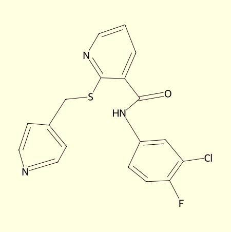 O=C(Nc1ccc(F)c(Cl)c1)c1cccnc1SCc1ccncc1